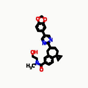 CN(CCO)C(=O)c1ccc2c(c1)CC(c1ncc(-c3ccc4c(c3)OCO4)cn1)=CCC21CC1